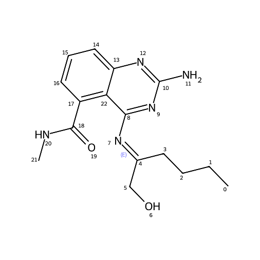 CCCC/C(CO)=N\c1nc(N)nc2cccc(C(=O)NC)c12